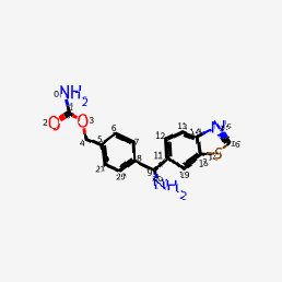 NC(=O)OCc1ccc(C(N)c2ccc3ncsc3c2)cc1